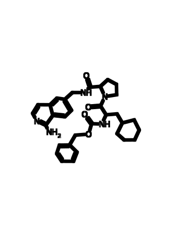 Nc1nccc2cc(CNC(=O)C3CCCN3C(=O)C(CC3CCCCC3)NC(=O)OCc3ccccc3)ccc12